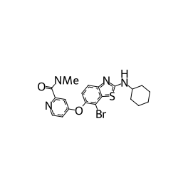 CNC(=O)c1cc(Oc2ccc3nc(NC4CCCCC4)sc3c2Br)ccn1